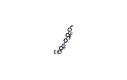 C=CC1CCC(c2ccc(-c3ccc(/C=C/c4ccc(OCC)cc4F)cc3)c(F)c2F)CC1